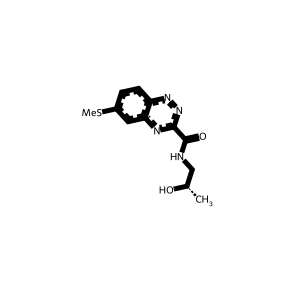 CSc1ccc2nnc(C(=O)NC[C@H](C)O)nc2c1